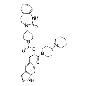 O=C(O[C@H](Cc1ccc2[nH]ncc2c1)C(=O)N1CCC(N2CCCCC2)CC1)N1CCC(N2CCc3ccccc3NC2=O)CC1